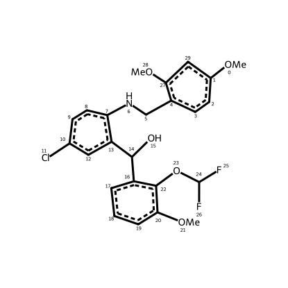 COc1ccc(CNc2ccc(Cl)cc2C(O)c2cccc(OC)c2OC(F)F)c(OC)c1